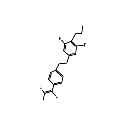 CCCc1c(F)cc(CCc2ccc(C(F)=C(C)F)cc2)cc1F